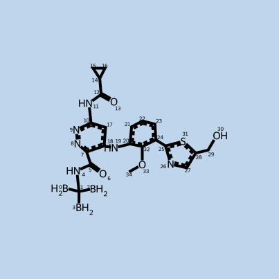 BC(B)(B)NC(=O)c1nnc(NC(=O)C2CC2)cc1Nc1cccc(-c2ncc(CO)s2)c1OC